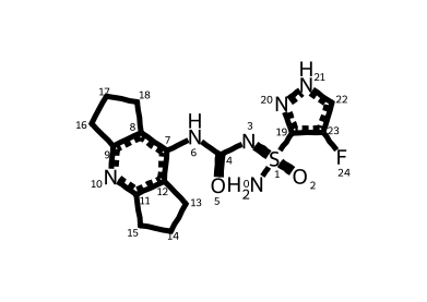 NS(=O)(=NC(=O)Nc1c2c(nc3c1CCC3)CCC2)c1n[nH]cc1F